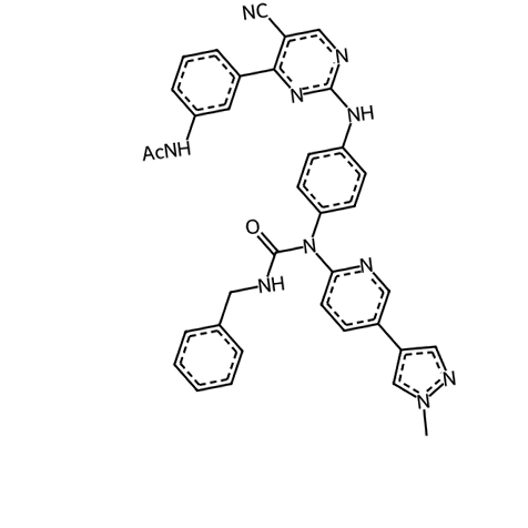 CC(=O)Nc1cccc(-c2nc(Nc3ccc(N(C(=O)NCc4ccccc4)c4ccc(-c5cnn(C)c5)cn4)cc3)ncc2C#N)c1